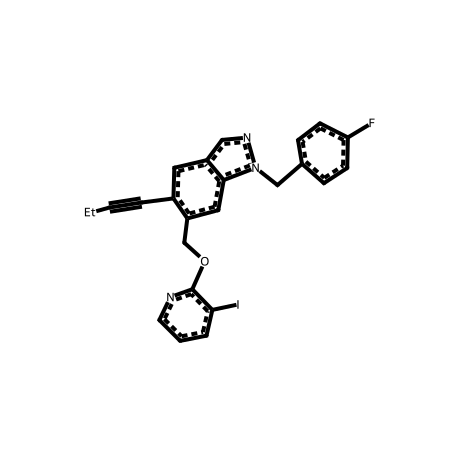 CCC#Cc1cc2cnn(Cc3ccc(F)cc3)c2cc1COc1ncccc1I